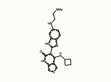 CNCCNc1ccc2nc(-c3c(NC4CCC4)c4cscc4[nH]c3=O)[nH]c2c1